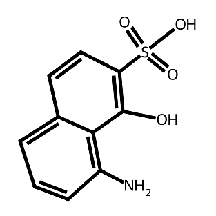 Nc1cccc2ccc(S(=O)(=O)O)c(O)c12